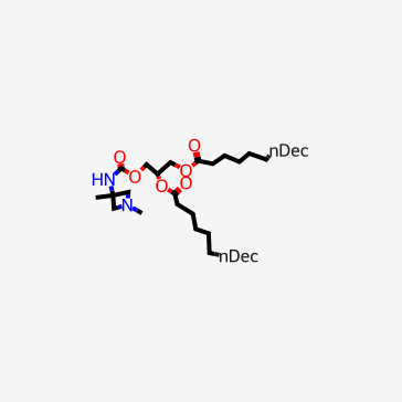 CCCCCCCCCCCCCCCC(=O)OCC(COC(=O)NC1(C)CN(C)C1)OC(=O)CCCCCCCCCCCCCCC